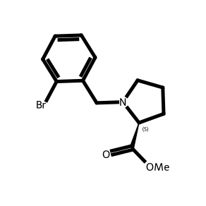 COC(=O)[C@@H]1CCCN1Cc1ccccc1Br